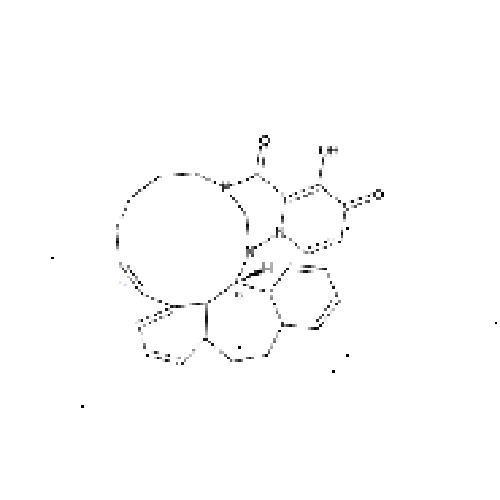 O=C1c2c(O)c(=O)ccn2N2CN1CCCC/C=C\C1=CC=CC3CCC4C=CC=CC4[C@@H]2C13